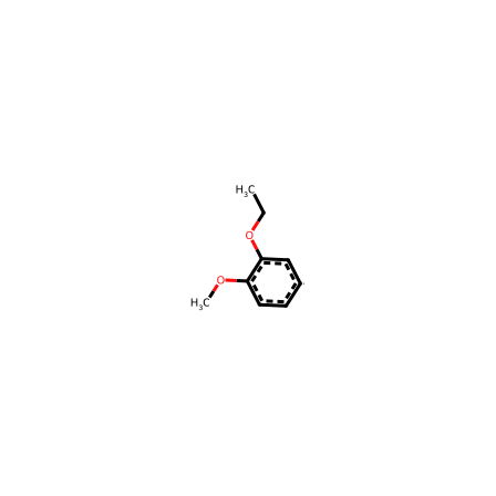 CCOc1c[c]ccc1OC